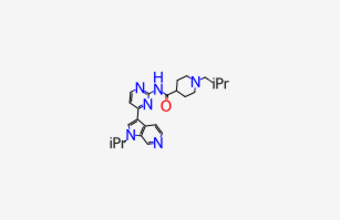 CC(C)CN1CCC(C(=O)Nc2nccc(-c3cn(C(C)C)c4cnccc34)n2)CC1